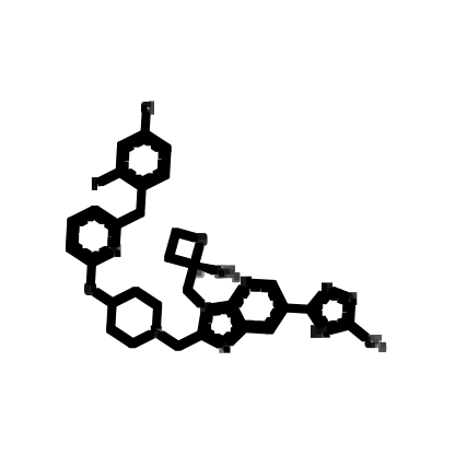 Fc1cc(Cl)ccc1Cc1cccc(OC2CCN(Cc3nc4cc(-c5nnc(C(F)(F)F)[nH]5)cnc4n3C[C@]3([SiH3])CCO3)CC2)n1